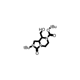 CC(C)(C)OC(=O)N1CCN2C(=O)N(C(C)(C)C)CC2C1CO